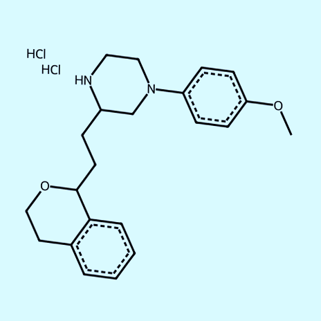 COc1ccc(N2CCNC(CCC3OCCc4ccccc43)C2)cc1.Cl.Cl